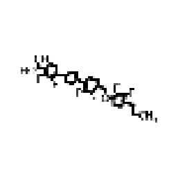 CCCc1ccc(OCc2ccc(C3=CCC(c4ccc(C(C)O)c(F)c4F)CC3)c(F)c2F)c(F)c1F